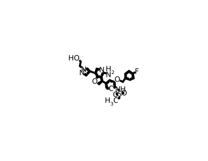 CCS(=O)(=O)Nc1ccc(-c2coc3c(-c4cnn(CCO)c4)cnc(N)c23)cc1OCc1ccc(F)cc1